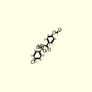 O=COc1ccc(C(=O)NS(=O)(=O)c2ccc(Cl)cc2)cc1